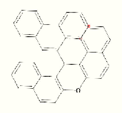 c1ccc2c3c(ccc2c1)Oc1ccc2ccccc2c1C3c1cc2ccccc2c2ccccc12